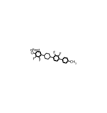 CCCCCOc1ccc(C2CCC(c3ccc(-c4ccc(C)cc4)c(F)c3F)CC2)c(F)c1F